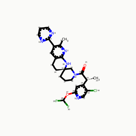 Cc1nc2c(cc1-c1ncccn1)CC[C@@]1(CCCN(C(=O)[C@H](C)c3cc(OC(F)F)ncc3Cl)C1)N2